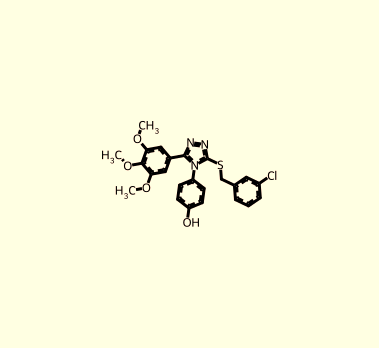 COc1cc(-c2nnc(SCc3cccc(Cl)c3)n2-c2ccc(O)cc2)cc(OC)c1OC